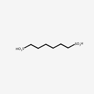 O=S(=O)(O)CCCCCCS(=O)(=O)O